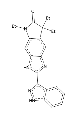 CCN1C(=O)C(CC)(CC)c2cc3nc(-c4n[nH]c5ccccc45)[nH]c3cc21